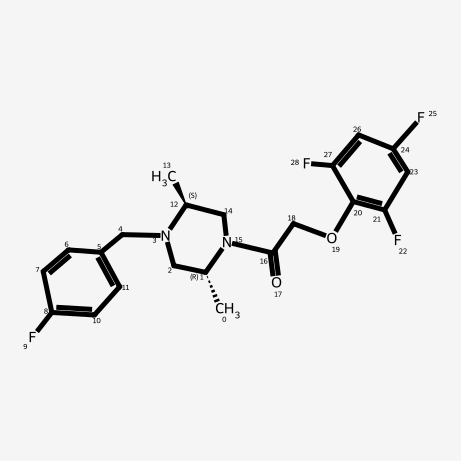 C[C@@H]1CN(Cc2ccc(F)cc2)[C@@H](C)CN1C(=O)COc1c(F)cc(F)cc1F